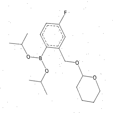 CC(C)OB(OC(C)C)c1ccc(F)cc1COC1CCCCO1